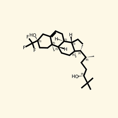 C[C@H](CC[C@@H](O)C(C)(C)C)[C@H]1CC[C@H]2[C@@H]3CC=C4C[C@](O)(C(F)(F)F)CC[C@]4(C)[C@H]3CC[C@]12C